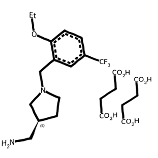 CCOc1ccc(C(F)(F)F)cc1CN1CC[C@@H](CN)C1.O=C(O)CCC(=O)O.O=C(O)CCC(=O)O